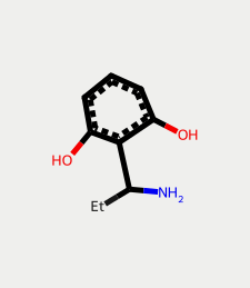 CCC(N)c1c(O)cccc1O